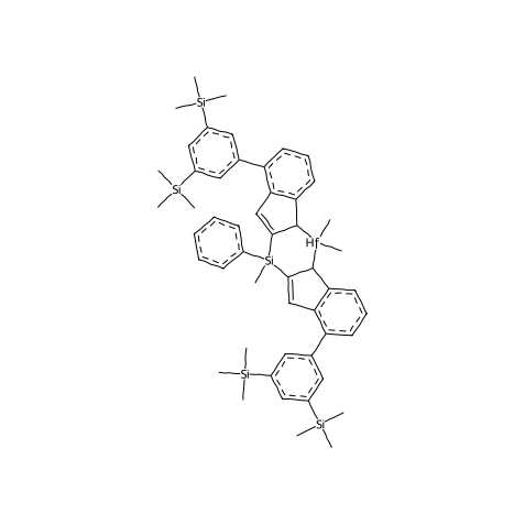 C[Si](C)(C)c1cc(-c2cccc3c2C=C2[CH]3[Hf]([CH3])([CH3])[CH]3C(=Cc4c(-c5cc([Si](C)(C)C)cc([Si](C)(C)C)c5)cccc43)[Si]2(C)c2ccccc2)cc([Si](C)(C)C)c1